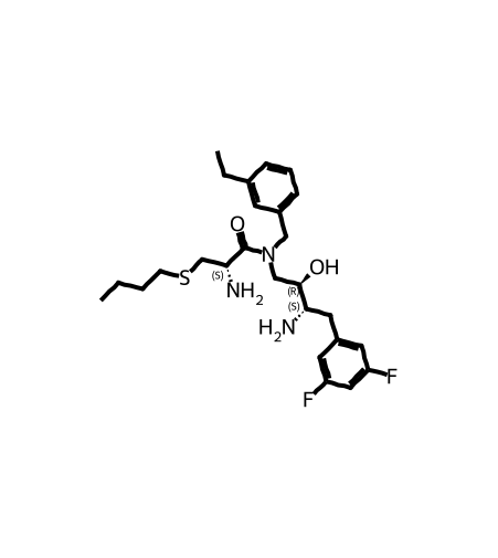 CCCCSC[C@@H](N)C(=O)N(Cc1cccc(CC)c1)C[C@@H](O)[C@@H](N)Cc1cc(F)cc(F)c1